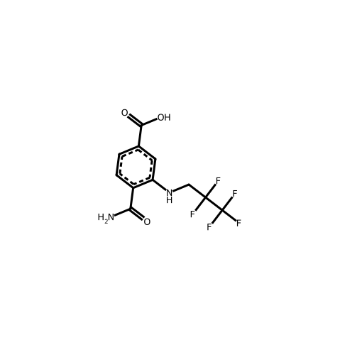 NC(=O)c1ccc(C(=O)O)cc1NCC(F)(F)C(F)(F)F